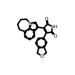 O=C1NC(=O)C(c2cn3c4c(cccc24)CCCC3)=C1c1ccc2c(c1)COC2